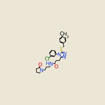 Cc1ccc(CSc2nnc(CCC(=O)NCCCN3CCCC3=O)n2-c2cccc(Cl)c2)cc1